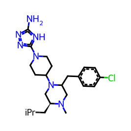 CC(C)C[C@H]1CN(C2CCN(c3nnc(N)[nH]3)CC2)C(Cc2ccc(Cl)cc2)CN1C